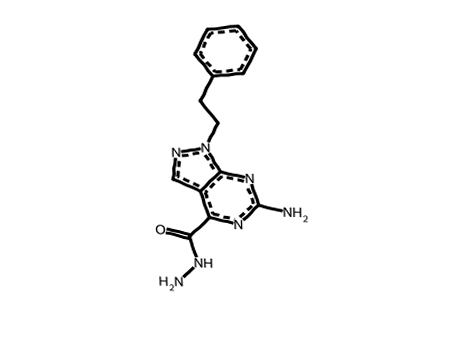 NNC(=O)c1nc(N)nc2c1cnn2CCc1ccccc1